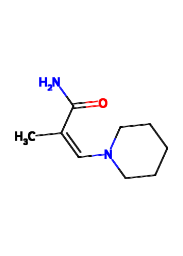 CC(=CN1CCCCC1)C(N)=O